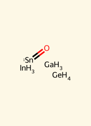 [GaH3].[GeH4].[InH3].[O]=[Sn]